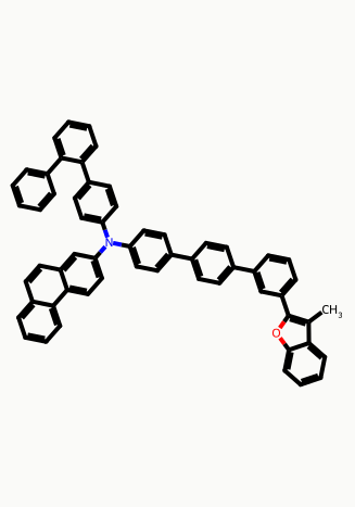 Cc1c(-c2cccc(-c3ccc(-c4ccc(N(c5ccc(-c6ccccc6-c6ccccc6)cc5)c5ccc6c(ccc7ccccc76)c5)cc4)cc3)c2)oc2ccccc12